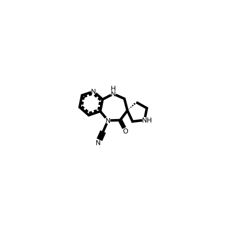 N#CN1C(=O)[C@@]2(CCNC2)CNc2ncccc21